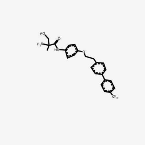 CC(N)(CO)C(=O)Nc1ccc(OCCc2ccc(-c3ccc(C(F)(F)F)cc3)cc2)cc1